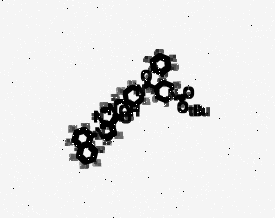 CC(C)(C)OC(=O)N1CC[C@@H](C(=O)N2CCC(O)(Cn3cnc4c(ccn4-c4cccc5ccccc45)c3=O)CC2)[C@H](c2ccccc2)C1